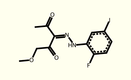 COCC(=O)/C(=N\Nc1cc(I)ccc1F)C(C)=O